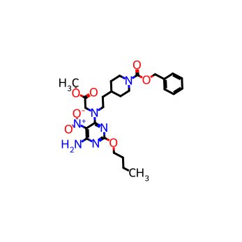 CCCCOc1nc(N)c([N+](=O)[O-])c(N(CCC2CCN(C(=O)OCc3ccccc3)CC2)CC(=O)OC)n1